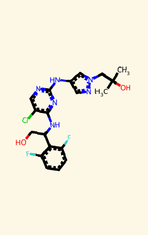 CC(C)(O)Cn1cc(Nc2ncc(Cl)c(NC(CO)c3c(F)cccc3F)n2)cn1